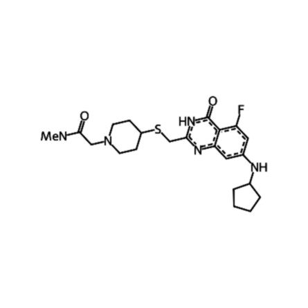 CNC(=O)CN1CCC(SCc2nc3cc(NC4CCCC4)cc(F)c3c(=O)[nH]2)CC1